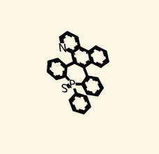 S=P1(c2ccccc2)c2ccccc2-c2c(c3ncccc3c3ccccc23)-c2ccccc21